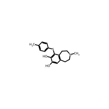 Cc1ccc(Sc2c(O)c(O)cc3c2CCN(C)CC3)cc1